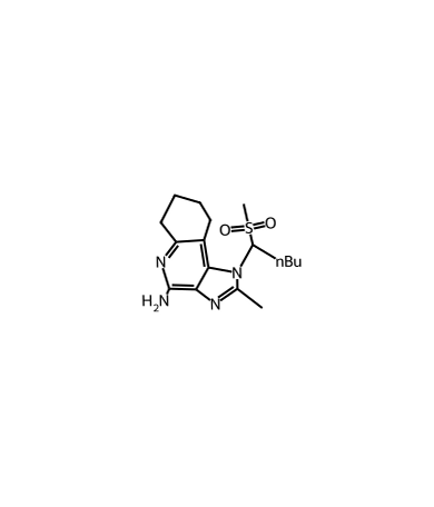 CCCCC(n1c(C)nc2c(N)nc3c(c21)CCCC3)S(C)(=O)=O